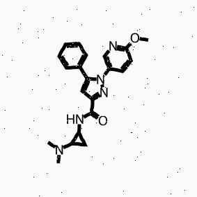 COc1ccc(-n2nc(C(=O)NC3CC3N(C)C)cc2-c2ccccc2)cn1